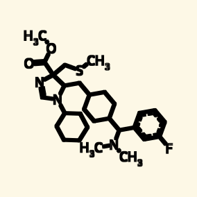 COC(=O)C1(CSC)N=CN(C2CCCCC2)C1CC1CCC(C(c2cccc(F)c2)N(C)C)CC1